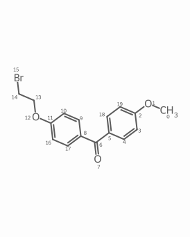 COc1ccc(C(=O)c2ccc(OCCBr)cc2)cc1